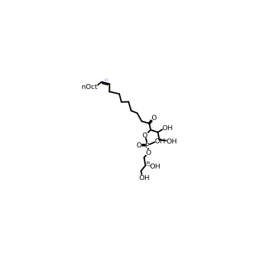 CCCCCCCC/C=C\CCCCCCCC(=O)C(OP(=O)(O)OC[C@H](O)CO)C(O)CO